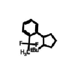 CC(F)(F)c1ccccc1C1CCCC1C(C)(C)C